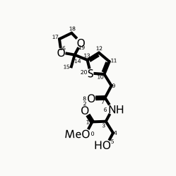 COC(=O)C(CO)NC(=O)Cc1ccc(C2(C)OCCO2)s1